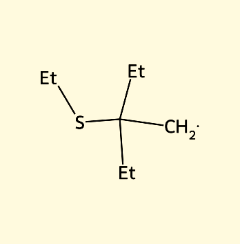 [CH2]C(CC)(CC)SCC